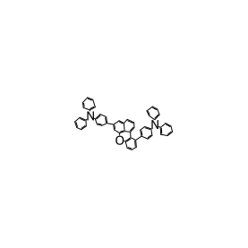 c1ccc(N(c2ccccc2)c2ccc(-c3cc4c5c(cccc5c3)-c3c(cccc3-c3ccc(N(c5ccccc5)c5ccccc5)cc3)O4)cc2)cc1